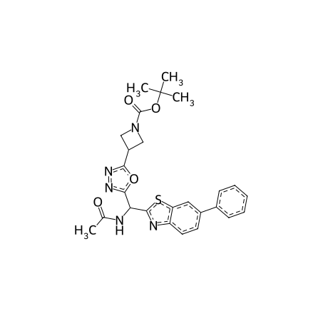 CC(=O)NC(c1nnc(C2CN(C(=O)OC(C)(C)C)C2)o1)c1nc2ccc(-c3ccccc3)cc2s1